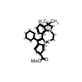 COC(=O)c1ccc2c(C3CCCCC3)c3n(c2c1)CCCN1CC(C)(C)c2cccc-3c21